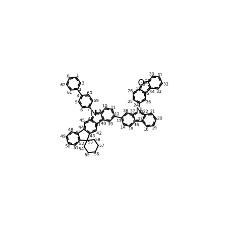 c1ccc(-c2ccc(-n3c4ccc(-c5ccc6c7ccccc7n(-c7ccc8oc9ccccc9c8c7)c6c5)cc4c4cc5c(cc43)-c3ccccc3C53CCCCC3)cc2)cc1